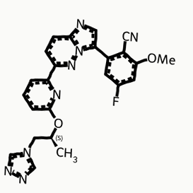 COc1cc(F)cc(-c2cnc3ccc(-c4cccc(O[C@@H](C)Cn5cnnc5)n4)nn23)c1C#N